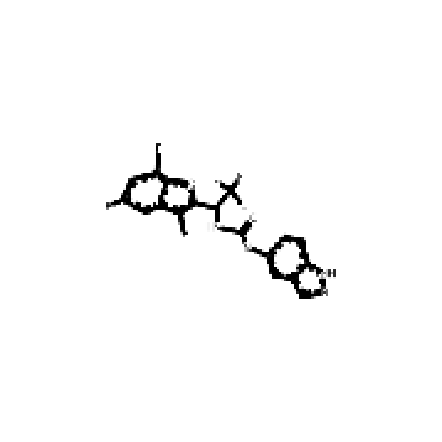 Cc1c(C(NC(=O)Nc2ccc3[nH]ncc3c2)C(F)(F)F)oc2c(F)cc(F)cc12